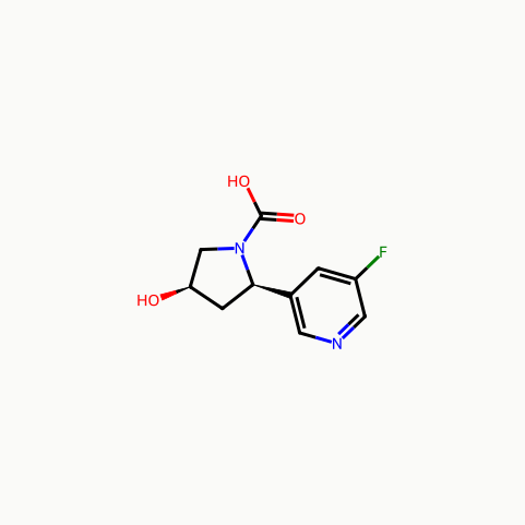 O=C(O)N1C[C@H](O)C[C@@H]1c1cncc(F)c1